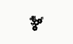 COC1C(c2ccccc2)=Cc2ccc(Cl)cc2N=C1CS(=O)(=O)O